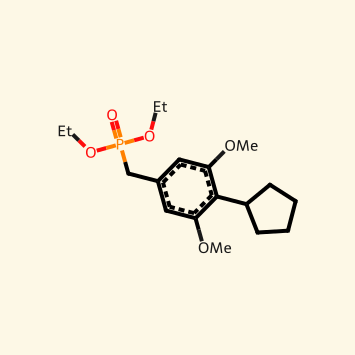 CCOP(=O)(Cc1cc(OC)c(C2CCCC2)c(OC)c1)OCC